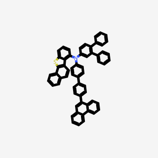 c1ccc(-c2ccc(N(c3ccc(-c4ccc(-c5cc6ccccc6c6ccccc56)cc4)cc3)c3cccc4sc5c6ccccc6ccc5c34)cc2-c2ccccc2)cc1